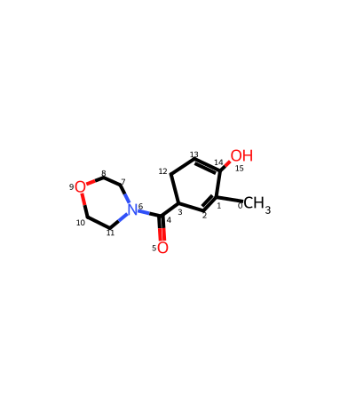 CC1=CC(C(=O)N2CCOCC2)CC=C1O